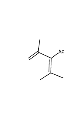 C=C(C)C(C(C)=O)=C(C)C